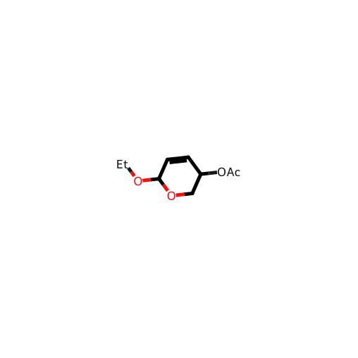 CCOC1C=CC(OC(C)=O)CO1